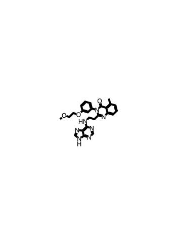 COCCOc1cccc(-n2c(CCNc3ncnc4[nH]cnc34)nc3cccc(C)c3c2=O)c1